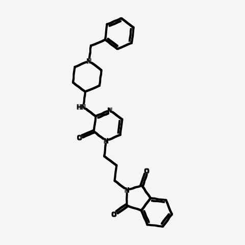 O=C1c2ccccc2C(=O)N1CCCn1ccnc(NC2CCN(Cc3ccccc3)CC2)c1=O